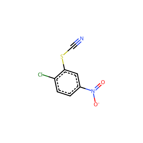 N#CSc1cc([N+](=O)[O-])ccc1Cl